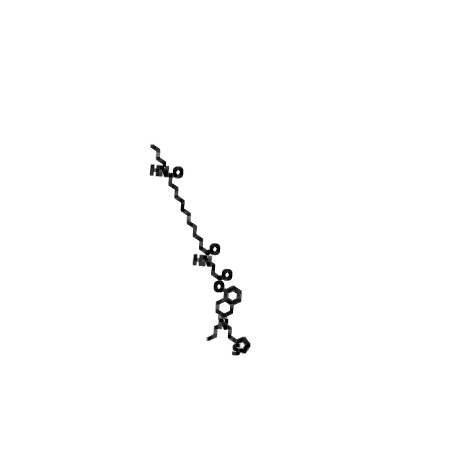 CCCCNC(=O)CCCCCCCCCCCC(=O)NCCC(=O)Oc1cccc2c1CC[C@@H](N(CCC)CCc1cccs1)C2